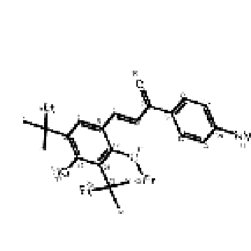 CCC(C)(C)c1cc(/C=C/C(=O)c2ccc(NC)cc2)c(OC(C)C)c(C(C)(C)CC)c1O